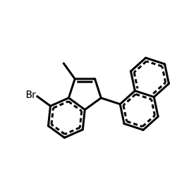 CC1=CC(c2cccc3ccccc23)c2cccc(Br)c21